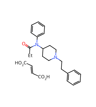 CCC(=O)N(c1ccccc1)C1CCN(CCc2ccccc2)CC1.O=C(O)C=CC(=O)O